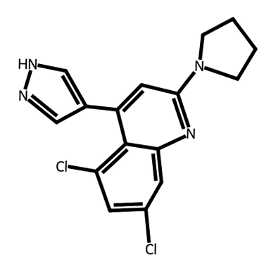 Clc1cc(Cl)c2c(-c3cn[nH]c3)cc(N3CCCC3)nc2c1